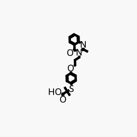 Cc1nc2ccccc2c(=O)n1CCCOc1ccc(SC(C)(C)C(=O)O)cc1